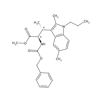 CCCn1c(C)c([C@@H](C)[C@@H](NC(=O)OCc2ccccc2)C(=O)OC)c2cc(C)ccc21